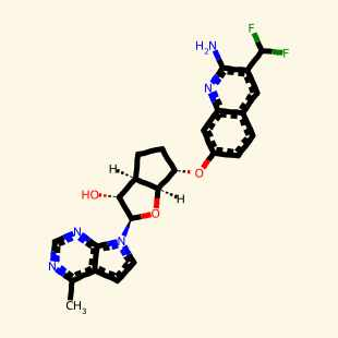 Cc1ncnc2c1ccn2[C@@H]1O[C@H]2[C@H](CC[C@@H]2Oc2ccc3cc(C(F)F)c(N)nc3c2)[C@H]1O